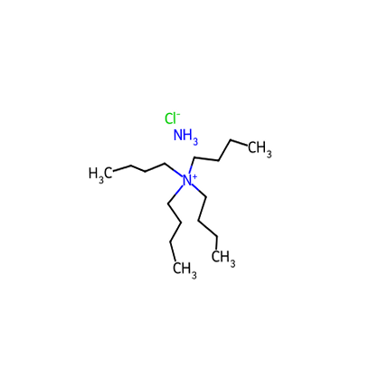 CCCC[N+](CCCC)(CCCC)CCCC.N.[Cl-]